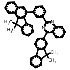 CC1(C)c2ccccc2-c2ccc(-c3nc(-c4cccc(-c5cc6ccccc6c6c5-c5ccccc5C6(C)C)c4)nc4ccccc34)cc21